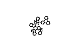 c1ccc2c(-c3ccc4c5ccccc5c5ccccc5c4c3)nc(-n3c4ccccc4c4c5oc6ccccc6c5c5c(ccc6oc7ccccc7c65)c43)nc2c1